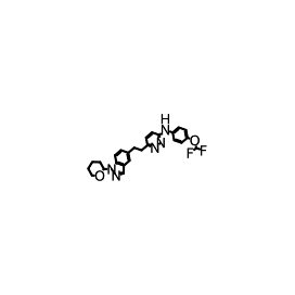 FC(F)Oc1ccc(Nc2ccc(CCc3ccc4c(cnn4C4CCCCO4)c3)nn2)cc1